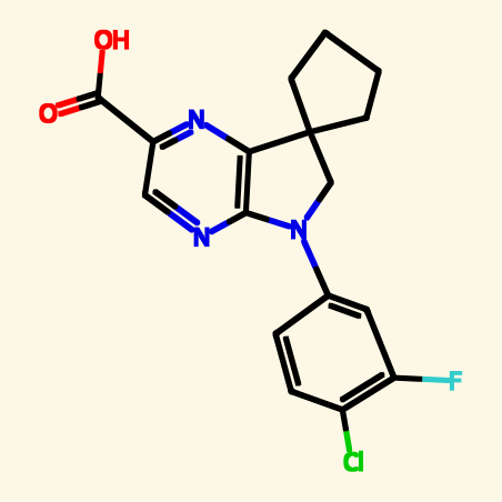 O=C(O)c1cnc2c(n1)C1(CCCC1)CN2c1ccc(Cl)c(F)c1